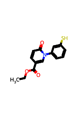 CCOC(=O)c1ccc(=O)n(-c2cccc(S)c2)c1